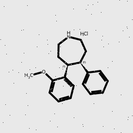 COc1ccccc1[C@H]1CCNCC[C@H]1c1ccccc1.Cl